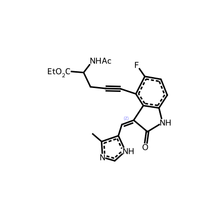 CCOC(=O)C(CC#Cc1c(F)ccc2c1/C(=C/c1[nH]cnc1C)C(=O)N2)NC(C)=O